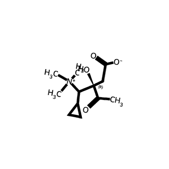 CC(=O)[C@@](O)(CC(=O)[O-])C(C1CC1)[N+](C)(C)C